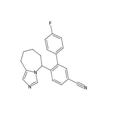 N#Cc1ccc(C2CCCCc3cncn32)c(-c2ccc(F)cc2)c1